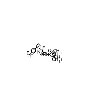 CNC(=O)[C@@H](CC(C)(C)C)NCc1ncnc(N2CCCC2c2ccc(C(F)(F)F)cc2)c1F